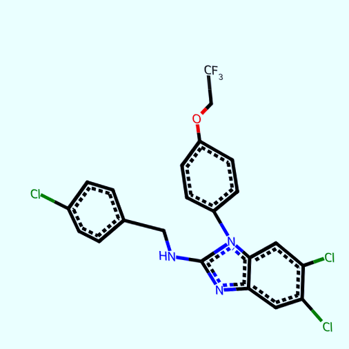 FC(F)(F)COc1ccc(-n2c(NCc3ccc(Cl)cc3)nc3cc(Cl)c(Cl)cc32)cc1